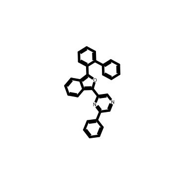 c1ccc(-c2cncc(-c3oc(-c4ccccc4-c4ccccc4)c4ccccc34)n2)cc1